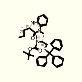 CC[C@H](C)[C@H](N)C(=O)N(C[C@H](CSC(c1ccccc1)(c1ccccc1)c1ccccc1)NC(=O)OC(C)(C)C)c1ccccc1